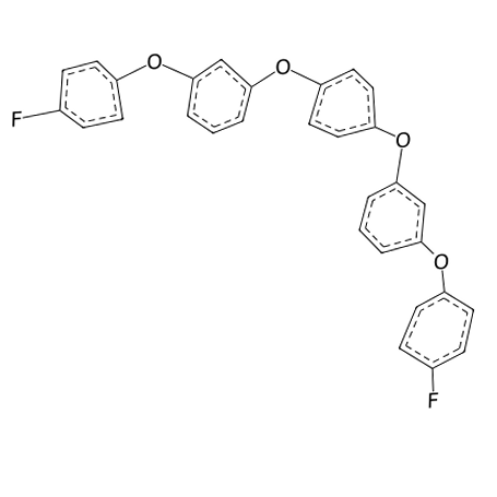 Fc1ccc(Oc2cccc(Oc3ccc(Oc4cccc(Oc5ccc(F)cc5)c4)cc3)c2)cc1